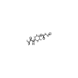 C=C(C)C(=O)NC1CCC(OC(=O)CCCl)CC1